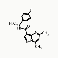 Cc1cc(C)n2ncc(C(=O)N[C@H](C)c3ccc(F)cc3)c2n1